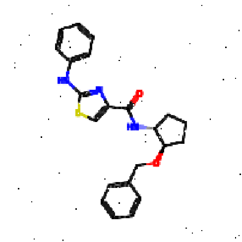 O=C(N[C@@H]1CCC[C@H]1OCc1ccccc1)c1csc(Nc2ccccc2)n1